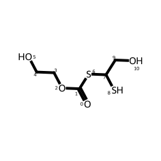 O=C(OCCO)SC(S)CO